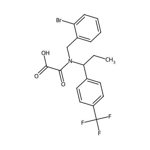 CCC(c1ccc(C(F)(F)F)cc1)N(Cc1ccccc1Br)C(=O)C(=O)O